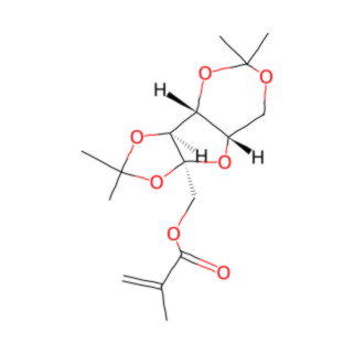 C=C(C)C(=O)OC[C@@]12O[C@H]3COC(C)(C)O[C@H]3[C@@H]1OC(C)(C)O2